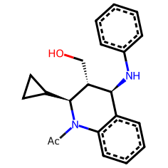 CC(=O)N1c2ccccc2[C@H](Nc2ccccc2)[C@@H](CO)[C@@H]1C1CC1